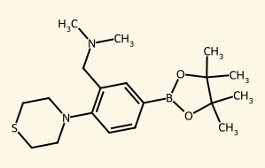 CN(C)Cc1cc(B2OC(C)(C)C(C)(C)O2)ccc1N1CCSCC1